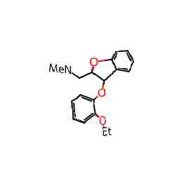 CCOc1ccccc1OC1c2ccccc2OC1CNC